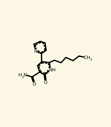 CCCCCCc1[nH]c(=O)c(C(N)=O)cc1-c1ccccn1